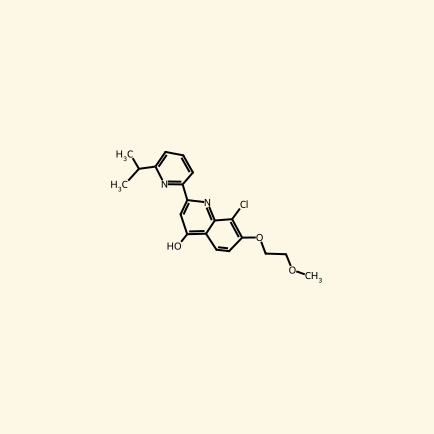 COCCOc1ccc2c(O)cc(-c3cccc(C(C)C)n3)nc2c1Cl